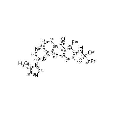 CCCS(=O)(=O)Nc1ccc(F)c(C(=O)c2ccc3ncc(-n4cncc4C)nc3c2)c1F